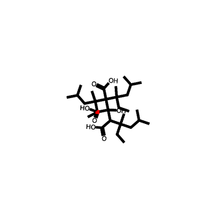 CCC(C)(CC(C)C)C(C(=O)O)C(O)(C(=O)O)C(C(=O)O)(C(C)(CC)CC(C)C)C(C)(CC)CC(C)C